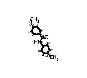 COc1ccc(C(=O)Nc2c[c]c(C)cc2)cc1